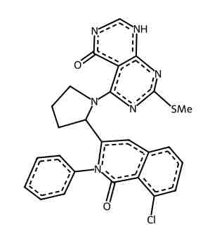 CSc1nc(N2CCCC2c2cc3cccc(Cl)c3c(=O)n2-c2ccccc2)c2c(=O)nc[nH]c2n1